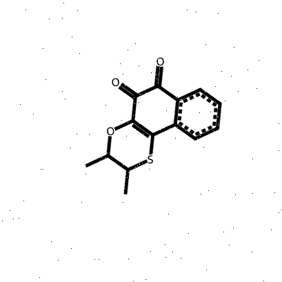 CC1OC2=C(SC1C)c1ccccc1C(=O)C2=O